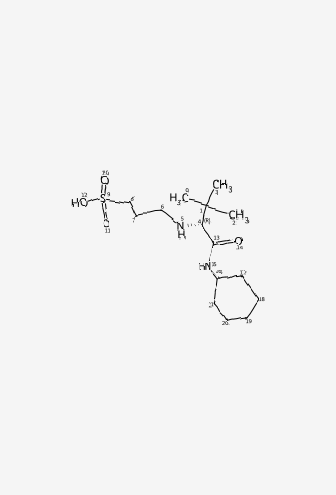 CC(C)(C)[C@@H](NCCCS(=O)(=O)O)C(=O)NC1CCCCC1